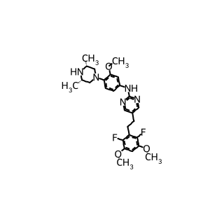 COc1cc(Nc2ncc(CCc3c(F)c(OC)cc(OC)c3F)cn2)ccc1N1C[C@@H](C)N[C@@H](C)C1